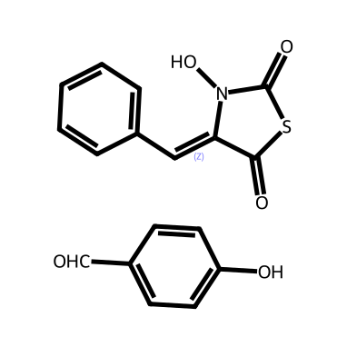 O=C1SC(=O)N(O)/C1=C\c1ccccc1.O=Cc1ccc(O)cc1